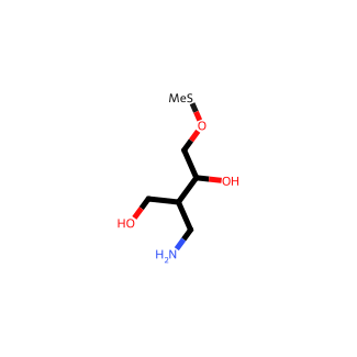 CSOCC(O)C(CN)CO